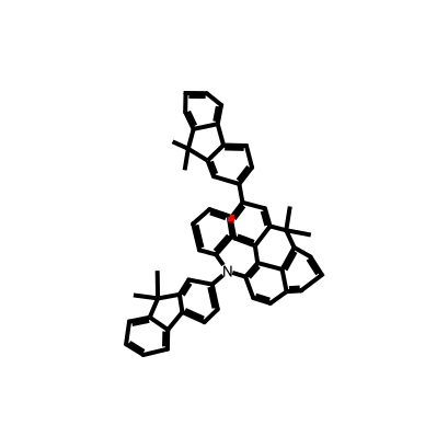 CC1(C)c2ccccc2-c2ccc(-c3ccc4c(c3)C(C)(C)c3cccc5ccc(N(c6ccccc6)c6ccc7c(c6)C(C)(C)c6ccccc6-7)c-4c35)cc21